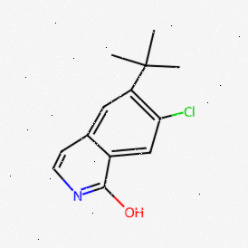 CC(C)(C)c1cc2ccnc(O)c2cc1Cl